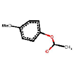 COc1ccc(OC(C)[O])cc1